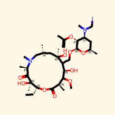 C=C(C)O[C@H]1[C@H](OCC2[C@@H](O)C(OC)[C@@H](C)C(=O)O[C@H](CC)[C@@](C)(O)C(=O)[C@@H](C)N(C)C[C@H](C)C[C@@]2(C)O)O[C@H](C)C[C@@H]1N(C)CI